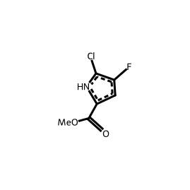 COC(=O)c1cc(F)c(Cl)[nH]1